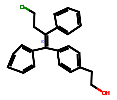 OCCc1ccc(/C(=C(/CCCl)c2ccccc2)c2ccccc2)cc1